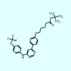 CC(C)(C)OC(=O)COCCOc1ccc(-c2cc(Nc3ccc(OC(F)(F)F)cc3)ncn2)cc1